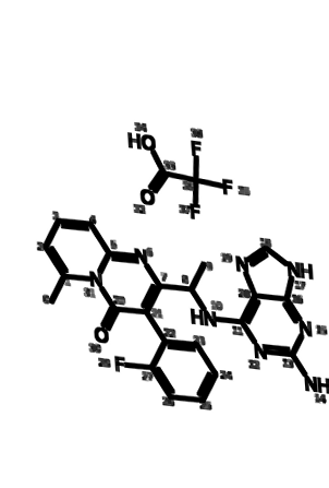 Cc1cccc2nc(C(C)Nc3nc(N)nc4[nH]cnc34)c(-c3ccccc3F)c(=O)n12.O=C(O)C(F)(F)F